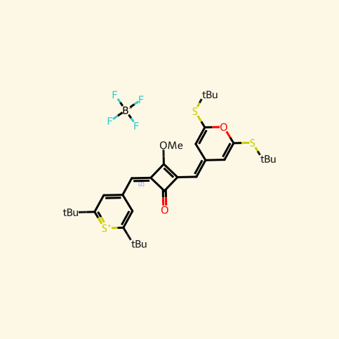 COC1=C(C=C2C=C(SC(C)(C)C)OC(SC(C)(C)C)=C2)C(=O)/C1=C\c1cc(C(C)(C)C)[s+]c(C(C)(C)C)c1.F[B-](F)(F)F